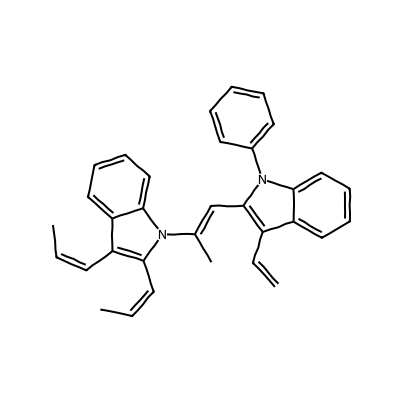 C=Cc1c(/C=C(\C)n2c(/C=C\C)c(/C=C\C)c3ccccc32)n(-c2ccccc2)c2ccccc12